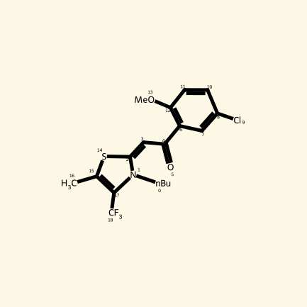 CCCCN1C(=CC(=O)c2cc(Cl)ccc2OC)SC(C)=C1C(F)(F)F